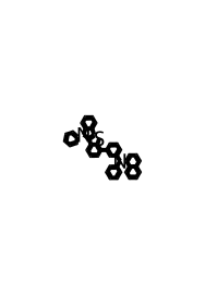 c1ccc(N(c2cccc(-c3cccc4c3sc3c5ccccc5n(-c5ccccc5)c43)c2)c2cccc3ccccc23)cc1